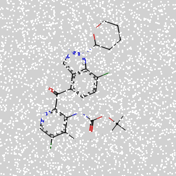 Cc1c(Br)cnc(C(=O)c2ccc(F)c3c2cnn3C2CCCCO2)c1NC(=O)OC(C)(C)C